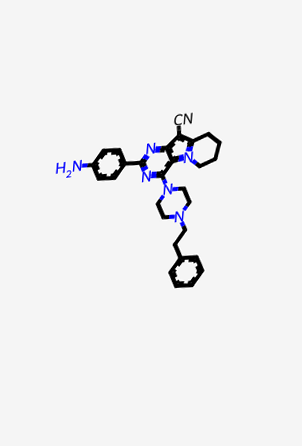 N#Cc1c2n(c3c(N4CCN(CCc5ccccc5)CC4)nc(-c4ccc(N)cc4)nc13)CCCC2